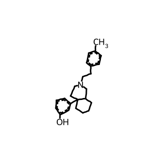 Cc1ccc(CCN2CCC3(c4cccc(O)c4)CCCCC3C2)cc1